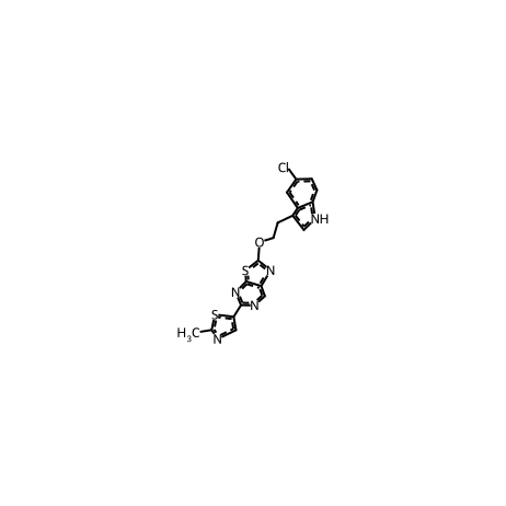 Cc1ncc(-c2ncc3nc(OCCc4c[nH]c5ccc(Cl)cc45)sc3n2)s1